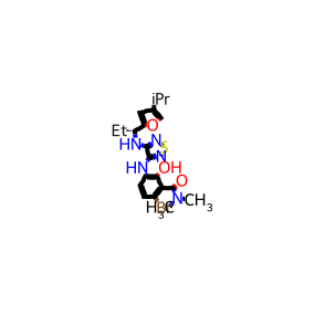 CC[C@@H](Nc1nsnc1Nc1ccc(Br)c(C(=O)N(C)C)c1O)c1cc(C(C)C)co1